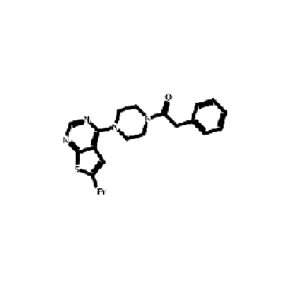 CC(C)c1cc2c(N3CCN(C(=O)Cc4ccccc4)CC3)ncnc2s1